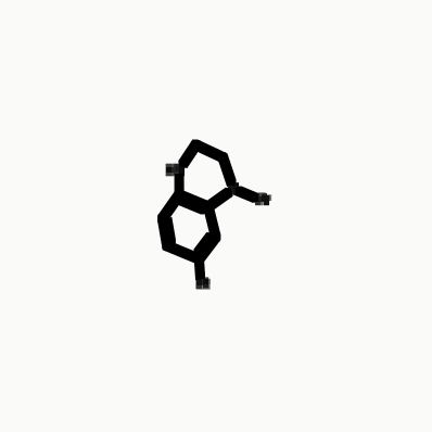 CCc1ccc2c(c1)N(C(C)C)CCN2